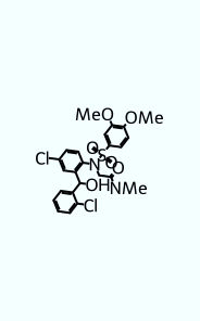 CNC(=O)CN(c1ccc(Cl)cc1C(O)c1ccccc1Cl)S(=O)(=O)c1ccc(OC)c(OC)c1